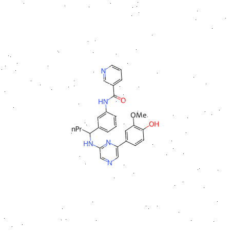 CCCC(Nc1cncc(-c2ccc(O)c(OC)c2)n1)c1cccc(NC(=O)c2cccnc2)c1